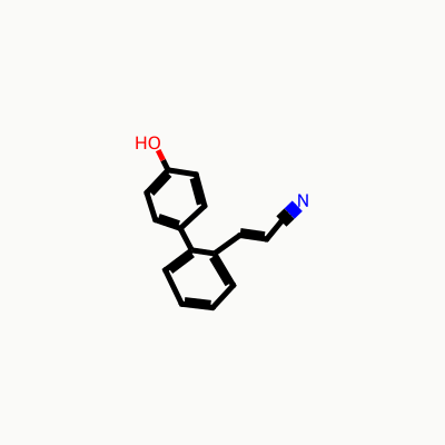 N#CC=Cc1ccccc1-c1ccc(O)cc1